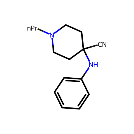 CCCN1CCC(C#N)(Nc2ccccc2)CC1